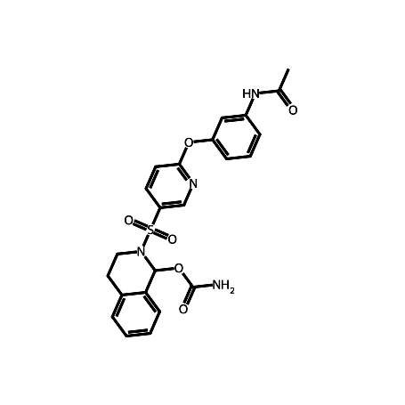 CC(=O)Nc1cccc(Oc2ccc(S(=O)(=O)N3CCc4ccccc4C3OC(N)=O)cn2)c1